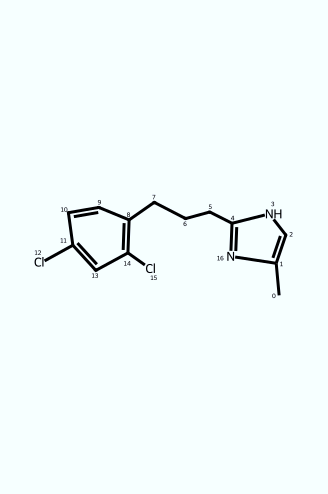 Cc1c[nH]c(CCCc2ccc(Cl)cc2Cl)n1